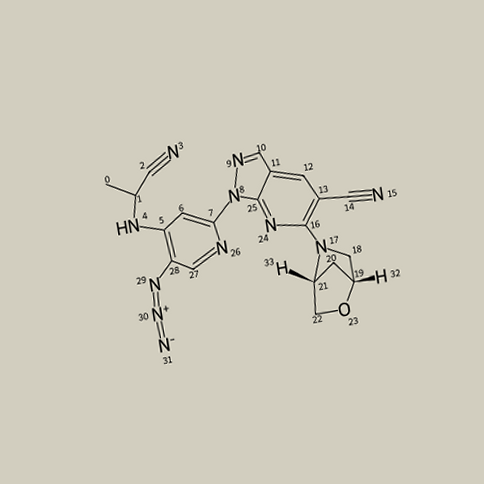 CC(C#N)Nc1cc(-n2ncc3cc(C#N)c(N4C[C@H]5C[C@@H]4CO5)nc32)ncc1N=[N+]=[N-]